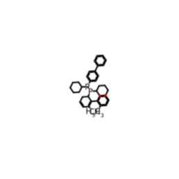 CC1=C(c2ccccc2C)[C](P(C2CCCCC2)P(c2ccc(-c3ccccc3)cc2)C2CCCCC2)CC=C1